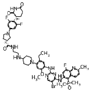 CCc1cc(Nc2ncc(Br)c(Nc3cc(F)c4nc(C)ccc4c3P(C)(C)=O)n2)c(OC)cc1N1CCC(NCCNC(=O)[C@@H]2CCN(c3cc(F)c([C@H]4CCC(=O)NC4=O)c(F)c3)C2)CC1